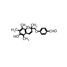 Cc1c(C)c2c(c(C)c1O)C=CC(C)(COc1ccc(C=O)cc1)O2